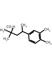 Cc1ccc(C(C)CC(C)(N)C(=O)O)cc1C